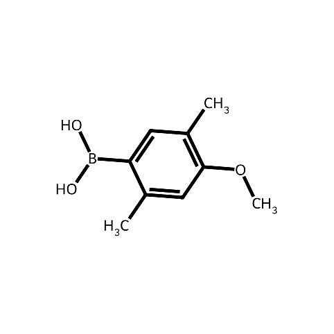 COc1cc(C)c(B(O)O)cc1C